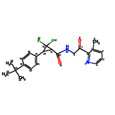 Cc1cccnc1C(=O)CNC(=O)C1C(c2ccc(C(C)(C)C)cc2)C1(F)F